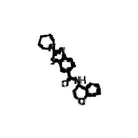 O=C(N[C@H]1CCOc2ccccc21)c1ccc2nc(N3CCCCC3)sc2c1